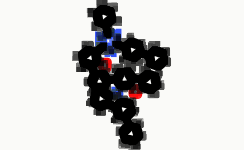 c1ccc(-c2ccc(-c3nc(-c4ccccc4)nc(-c4cccc5c4oc4c(-c6ccc7c(oc8ccccc87)c6-n6c7ccccc7c7cc(-c8ccccc8)ccc76)cccc45)n3)cc2)cc1